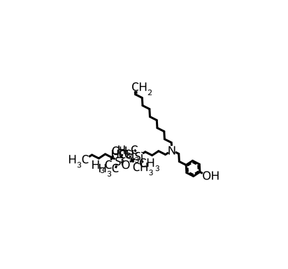 C=CCCCCCCCCCN(CCCC[Si](C)(C)C(C)(C)O[Si](C)(C)C(C)(C)CCCC)CCc1ccc(O)cc1